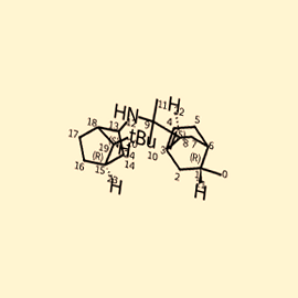 C[C@@H]1CC2=CCC1C[C@@H]2C(C)(C)NC1C[C@H]2CCC1[C@H]2C(C)(C)C